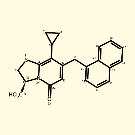 O=C(O)[C@H]1CSc2c(C3CC3)c(Cc3cccc4ccccc34)cc(=O)n21